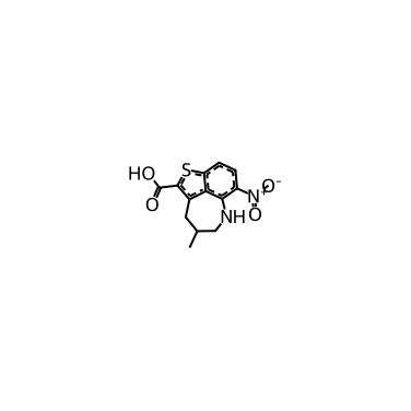 CC1CNc2c([N+](=O)[O-])ccc3sc(C(=O)O)c(c23)C1